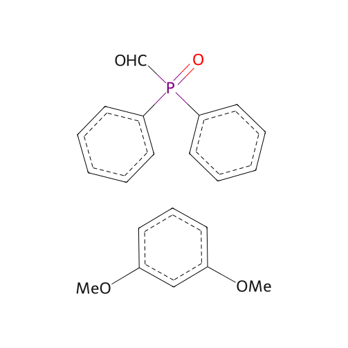 COc1cccc(OC)c1.O=CP(=O)(c1ccccc1)c1ccccc1